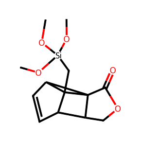 CO[Si](CC12C3C=CC1C21C(=O)OCC31)(OC)OC